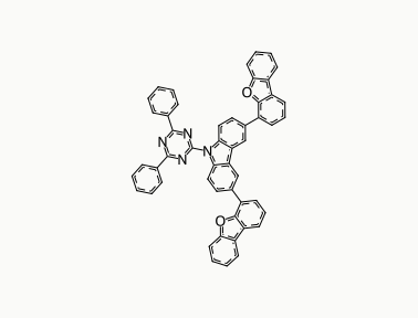 c1ccc(-c2nc(-c3ccccc3)nc(-n3c4ccc(-c5cccc6c5oc5ccccc56)cc4c4cc(-c5cccc6c5oc5ccccc56)ccc43)n2)cc1